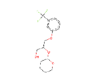 OCC(COc1cccc(C(F)(F)F)c1)OC1CCCCO1